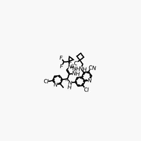 Cc1nc(Cl)ccc1[C@H](Nc1cc(Cl)c2ncc(C#N)c(NCC3(C(F)(F)F)CCC3)c2c1)C1=CN(C2(C(F)F)CC2)NN1